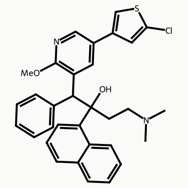 COc1ncc(-c2csc(Cl)c2)cc1C(c1ccccc1)C(O)(CCN(C)C)c1cccc2ccccc12